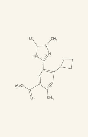 CCC1NC(c2cc(C(=O)OC)c(C)cc2C2CCC2)=NN1C